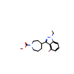 CCOC(=O)Cn1nc(C2CCCN(C(=O)OC(C)(C)C)CC2)c2c(Br)cccc21